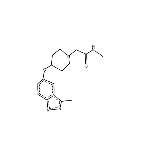 CNC(=O)CN1CCC(Oc2ccc3nnc(C)n3c2)CC1